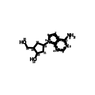 Nc1ncnc2c1ccn2C1CC(O)C(CO)C1